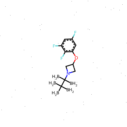 BC(B)(B)C(B)(B)N1CC(Oc2cc(F)cc(F)c2F)C1